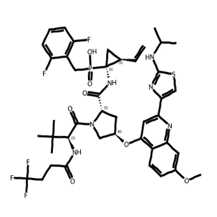 C=C[C@@H]1C[C@]1(NC(=O)[C@@H]1C[C@@H](Oc2cc(-c3csc(NC(C)C)n3)nc3cc(OC)ccc23)CN1C(=O)[C@@H](NC(=O)CCC(F)(F)F)C(C)(C)C)P(=O)(O)Cc1c(F)cccc1F